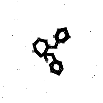 [O]C1(Cc2ccccc2)CCCCCC1Cc1ccccc1